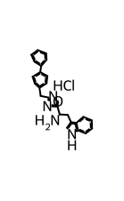 Cl.N[C@@H](Cc1c[nH]c2ccccc12)c1nc(Cc2ccc(-c3ccccc3)cc2)no1